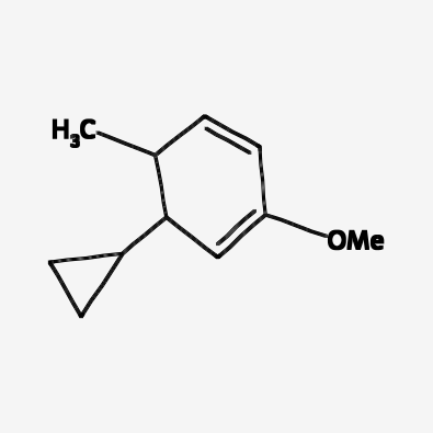 COC1=CC(C2CC2)C(C)C=C1